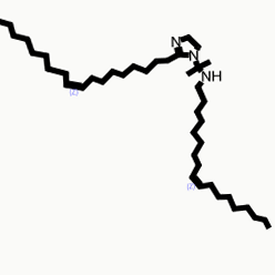 CCCCCCCC/C=C\CCCCCCCCNC(C)(C)N1CCN=C1CCCCCCCC/C=C\CCCCCCCC